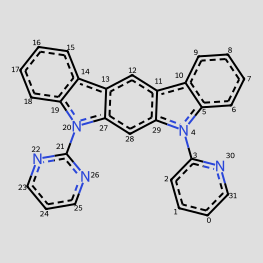 c1ccc(-n2c3ccccc3c3cc4c5ccccc5n(-c5ncccn5)c4cc32)nc1